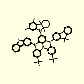 Cc1cc(C)c2c(c1)N(c1cc3c4c(c1)N(c1ccc5sc6ccccc6c5c1)c1ccc(C(C)(C)C)cc1B4c1cc(C(C)(C)C)ccc1N3c1ccc3c(c1)C(C)(C)c1ccccc1-3)C1(C)CCCCC21C